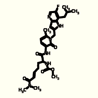 COC(=O)NC(CC/C=C/C(=O)N(C)C)C(=O)Nc1ccc(C)n(Cc2cc3ncc(F)c(CC(C)C)c3[nH]2)c1=O